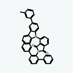 Cc1cccc(-c2ccc3c(c2)c2ccccc2n3-c2cccc3c2C(=O)N(c2c(-c4ccccc4)cccc2-c2ccccc2)C3=O)c1